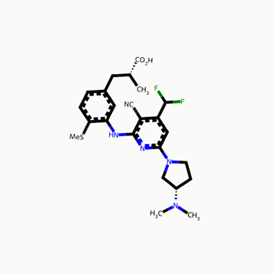 CSc1ccc(C[C@@H](C)C(=O)O)cc1Nc1nc(N2CC[C@H](N(C)C)C2)cc(C(F)F)c1C#N